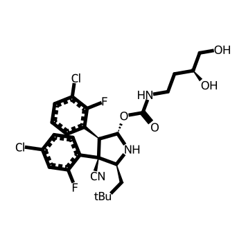 CC(C)(C)C[C@@H]1N[C@@H](OC(=O)NCC[C@H](O)CO)[C@H](c2cccc(Cl)c2F)[C@@]1(C#N)c1ccc(Cl)cc1F